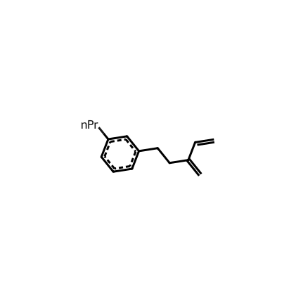 C=CC(=C)CCc1cccc(CCC)c1